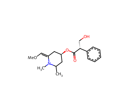 CO/C=C1/C[C@@H](OC(=O)[C@H](CO)c2ccccc2)CC(C)N1C